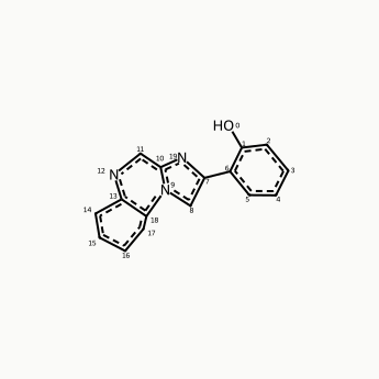 Oc1ccccc1-c1cn2c(cnc3ccccc32)n1